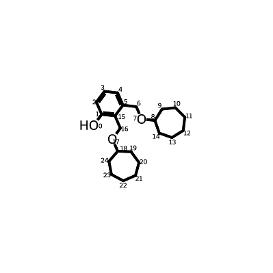 Oc1cccc(COC2CCCCCC2)c1COC1CCCCCC1